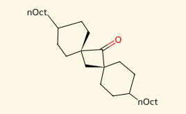 CCCCCCCCC1CC[C@]2(CC1)C[C@@]1(CCC(CCCCCCCC)CC1)C2=O